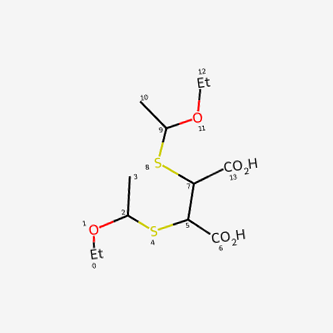 CCOC(C)SC(C(=O)O)C(SC(C)OCC)C(=O)O